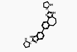 c1cc2c(cc1-c1ccc3nc([C@@H]4CCCN4)[nH]c3c1)CCCc1[nH]c([C@@H]3CCCN3)nc1-2